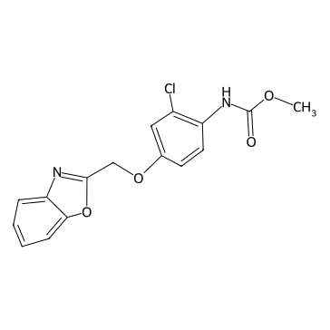 COC(=O)Nc1ccc(OCc2nc3ccccc3o2)cc1Cl